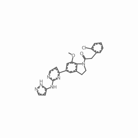 COc1cc(-c2ccnc(Nc3ccn[nH]3)n2)cc2c1N(C(=O)Cc1ccccc1Cl)CC2